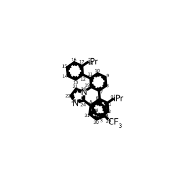 CC(C)c1ccccc1-c1cccc(-c2ccccc2C(C)C)c1-n1ccnc1-c1ccc(C(F)(F)F)cc1